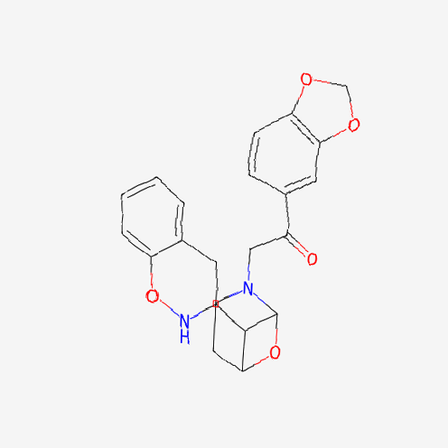 O=C(CN1CCC2OC1C2C1Cc2ccccc2ON1)c1ccc2c(c1)OCO2